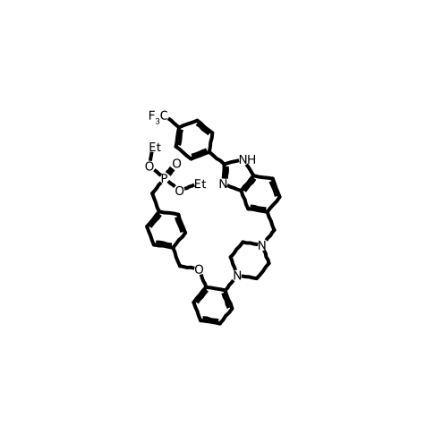 CCOP(=O)(Cc1ccc(COc2ccccc2N2CCN(Cc3ccc4[nH]c(-c5ccc(C(F)(F)F)cc5)nc4c3)CC2)cc1)OCC